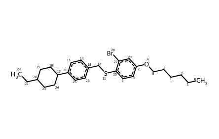 CCCCCCOc1ccc(SCc2ccc(C3CCC(CC)CC3)cc2)c(Br)c1